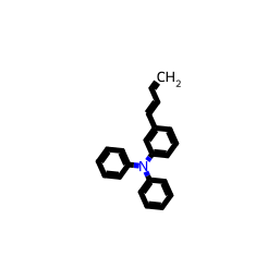 C=C/C=C/c1cccc(N(c2ccccc2)c2ccccc2)c1